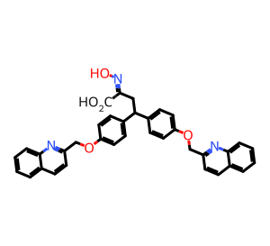 O=C(O)/C(CC(c1ccc(OCc2ccc3ccccc3n2)cc1)c1ccc(OCc2ccc3ccccc3n2)cc1)=N\O